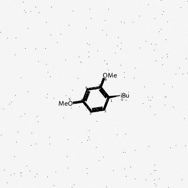 CC[C@H](C)c1ccc(OC)cc1OC